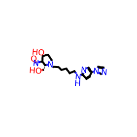 O=NC1[C@H](O)CCN(CCCCCCNc2ccc(-n3ccnc3)cn2)[C@@H]1CO